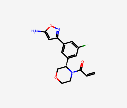 C=CC(=O)N1CCOC[C@H]1c1cc(Cl)cc(-c2cc(N)on2)c1